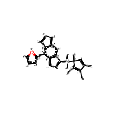 CC1=CC(C)([Si](C)(C)C2=CC=c3c2cc2c(c3-c3ccco3)C=CC=2)C(C)=C1C